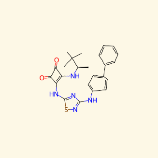 C[C@@H](Nc1c(Nc2nc(Nc3ccc(-c4ccccc4)cc3)ns2)c(=O)c1=O)C(C)(C)C